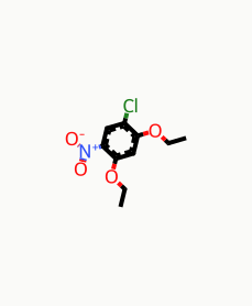 CCOc1cc(OCC)c([N+](=O)[O-])cc1Cl